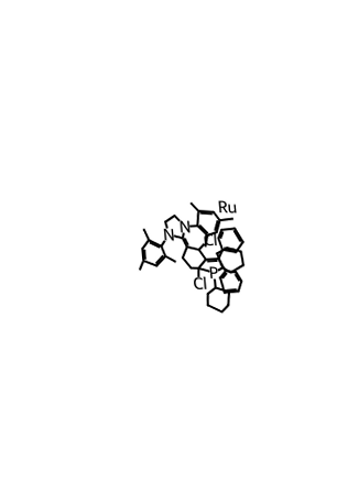 Cc1cc(C)c(N2CCN(c3c(C)cc(C)cc3C)C2=C2CCC(Cl)(P(C3CCCCC3)C3CCCCC3)C(=C(c3ccccc3)c3ccccc3)C2Cl)c(C)c1.[Ru]